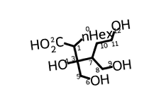 CCCCCCC(C(=O)O)C(O)(CO)C(CO)CCO